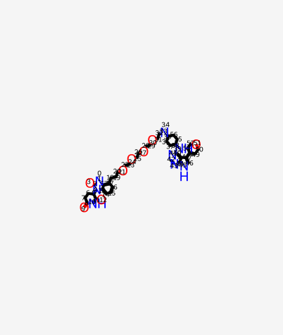 Cn1c(=O)n(C2CCC(=O)NC2=O)c2cccc(CCCOCCOCCOCCOCCN(C)[C@H]3CC[C@H](Nc4ncnc5[nH]cc(C6CCOCC6)c45)CC3)c21